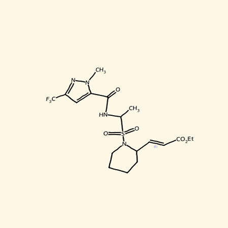 CCOC(=O)/C=C/C1CCCCN1S(=O)(=O)C(C)NC(=O)c1cc(C(F)(F)F)nn1C